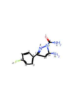 NC(=O)n1nc(-c2ccc(F)cc2)cc1N